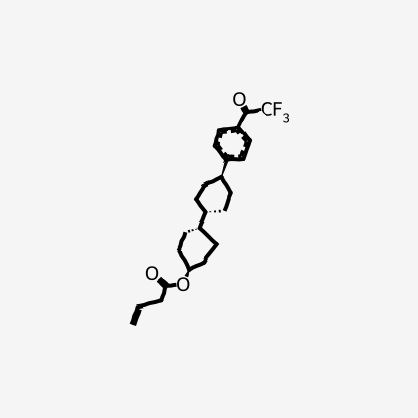 C=CCC(=O)O[C@H]1CC[C@H]([C@H]2CC[C@H](c3ccc(C(=O)C(F)(F)F)cc3)CC2)CC1